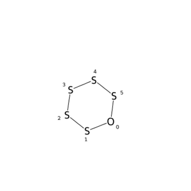 O1SSSSS1